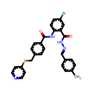 Cc1ccc(C=NNC(=O)c2cc(Br)ccc2NC(=O)c2ccc(CSc3ccncc3)cc2)cc1